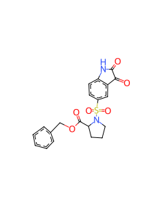 O=C1Nc2ccc(S(=O)(=O)N3CCCC3C(=O)OCc3ccccc3)cc2C1=O